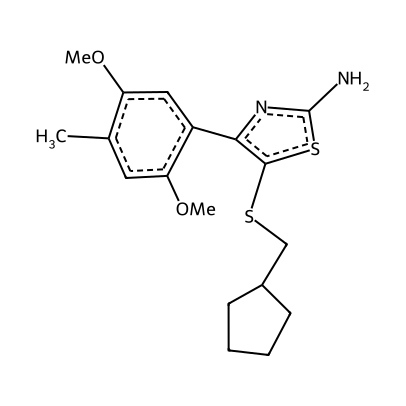 COc1cc(-c2nc(N)sc2SCC2CCCC2)c(OC)cc1C